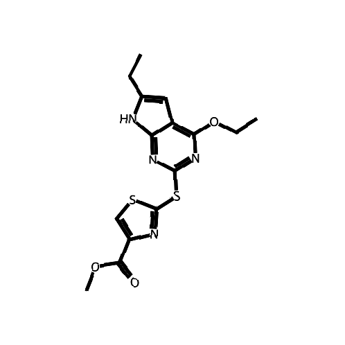 CCOc1nc(Sc2nc(C(=O)OC)cs2)nc2[nH]c(CC)cc12